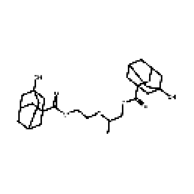 CC(COC(=O)C12CC3CC(CC(O)(C3)C1)C2)OCCOC(=O)C12CC3CC(CC(O)(C3)C1)C2